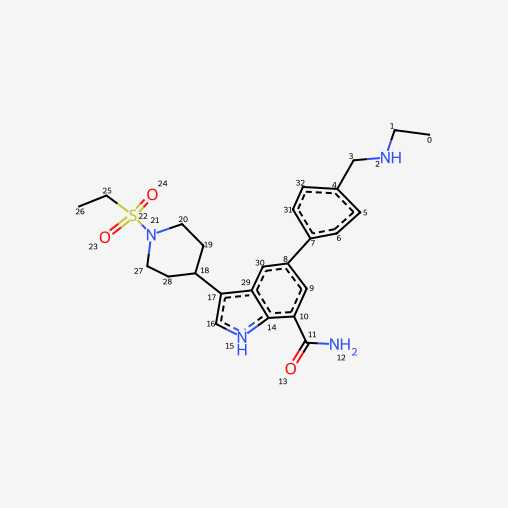 CCNCc1ccc(-c2cc(C(N)=O)c3[nH]cc(C4CCN(S(=O)(=O)CC)CC4)c3c2)cc1